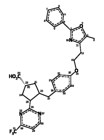 Cc1oc(-c2ccccc2)nc1CCOc1ccc(CC2C[C@@H](C(=O)O)CC2c2nccc(C(F)(F)F)n2)cc1